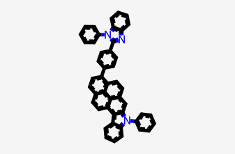 c1ccc(-n2c(-c3ccc(-c4ccc5ccc6c7c(ccc4c57)cc4c6c5ccccc5n4-c4ccccc4)cc3)nc3ccccc32)cc1